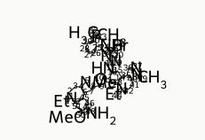 CCN1CCC(NC)=C(/C=C/COc2cc3c(cc2Nc2ncc(Br)c(Nc4ccccc4P(C)C)n2)-c2cnn(C)c2CCN3CC)c2cc(N)c(OC)cc21